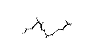 CC(C)=CCCC(C)CC=CC(C)=CCI